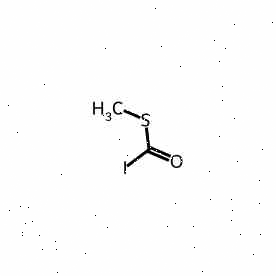 CSC(=O)I